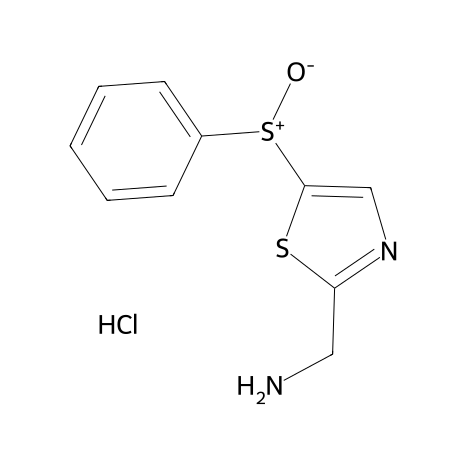 Cl.NCc1ncc([S+]([O-])c2ccccc2)s1